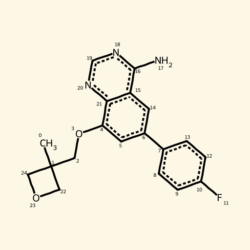 CC1(COc2cc(-c3ccc(F)cc3)cc3c(N)ncnc23)COC1